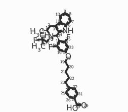 C[C@@H]1Cc2c([nH]c3ccccc23)[C@@H](c2c(F)cc(OCCCCCc3ccc(C(=O)O)cc3)cc2F)N1CC(C)(C)F